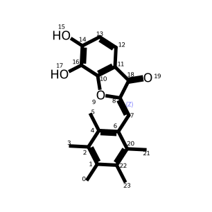 Cc1c(C)c(C)c(/C=C2\Oc3c(ccc(O)c3O)C2=O)c(C)c1C